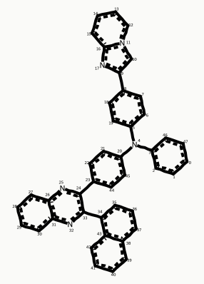 c1ccc(N(c2ccc(-c3cn4ccccc4n3)cc2)c2ccc(-c3nc4ccccc4nc3-c3cccc4ccccc34)cc2)cc1